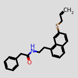 C=CCSc1ccc2cccc(CCNC(=O)Cc3ccccc3)c2c1